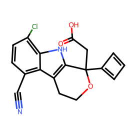 N#Cc1ccc(Cl)c2[nH]c3c(c12)CCOC3(CC(=O)O)C1=CC=C1